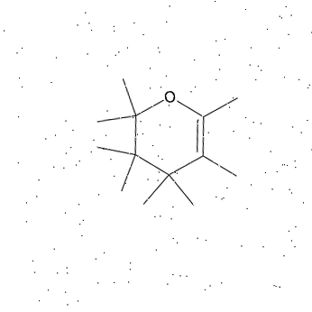 CC1=C(C)C(C)(C)C(C)(C)C(C)(C)O1